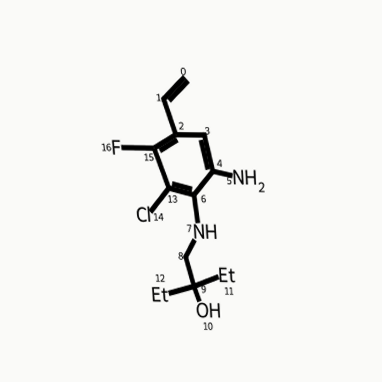 C=Cc1cc(N)c(NCC(O)(CC)CC)c(Cl)c1F